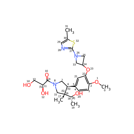 COc1ccc([C@@H]2CN(C(=O)[C@@H](O)CO)C[C@@]2(C)[C@@H](C)O)cc1OC1CN(c2ncc(C)s2)C1